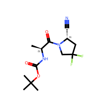 C[C@H](NC(=O)OC(C)(C)C)C(=O)N1CC(F)(F)C[C@H]1C#N